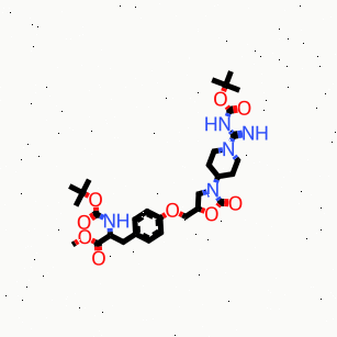 COC(=O)C(Cc1ccc(OCC2CN(C3CCN(C(=N)NC(=O)OC(C)(C)C)CC3)C(=O)O2)cc1)NC(=O)OC(C)(C)C